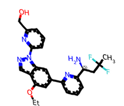 CCOc1cc(-c2cccc([C@@H](N)CC(C)(F)F)n2)cc2c1cnn2-c1cccc(CO)n1